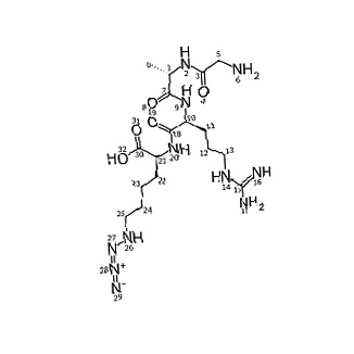 C[C@H](NC(=O)CN)C(=O)N[C@@H](CCCNC(=N)N)C(=O)N[C@@H](CCCCNN=[N+]=[N-])C(=O)O